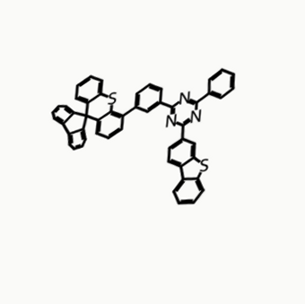 c1ccc(-c2nc(-c3cccc(-c4cccc5c4Sc4ccccc4C54c5ccccc5-c5ccccc54)c3)nc(-c3ccc4c(c3)sc3ccccc34)n2)cc1